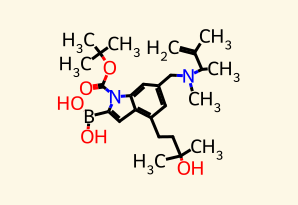 C=C(C)C(C)N(C)Cc1cc(CCC(C)(C)O)c2cc(B(O)O)n(C(=O)OC(C)(C)C)c2c1